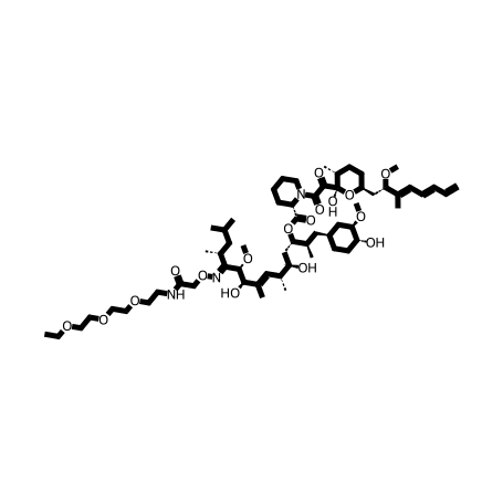 C=C/C=C/C=C(\C)[C@H](C[C@@H]1CC[C@@H](C)[C@](O)(C(=O)C(=O)N2CCCC[C@H]2C(=O)O[C@@H](C[C@@H](O)[C@H](C)/C=C(\C)[C@@H](O)[C@@H](OC)/C(=N/OCC(=O)NCCOCCOCCOCC)[C@H](C)CC(C)C)[C@H](C)C[C@@H]2CC[C@@H](O)[C@H](OC)C2)O1)OC